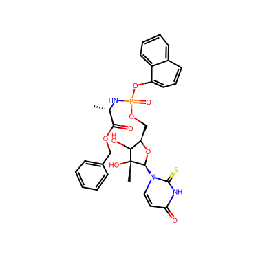 C[C@H](NP(=O)(OC[C@H]1O[C@@H](n2ccc(=O)[nH]c2=S)[C@](C)(O)C1O)Oc1cccc2ccccc12)C(=O)OCc1ccccc1